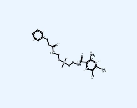 C[N+](C)(CCNC(=O)CCc1ccccc1)CCNC(=O)c1nc(Cl)c(N)nc1N